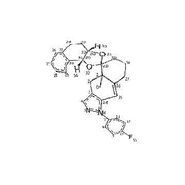 CC12Cc3cnn(-c4ccc(F)cc4)c3C=C1CCCC21O[C@H]2CCc3ccccc3[C@H]2O1